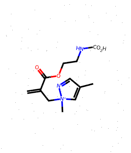 C=C(C[N+]1(C)C=C(C)C=N1)C(=O)OCCNC(=O)O